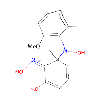 COc1cccc(C)c1N(O)C1(C)C=CC=C(O)/C1=N\O